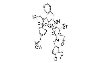 CC(C)CN(C[C@@H](O)[C@H](Cc1ccccc1)NC(=O)[C@H](C(C)C)N1CC(=O)N(Cc2ccc3c(c2)OCO3)C1=O)S(=O)(=O)c1ccc(/C=N/O)cc1